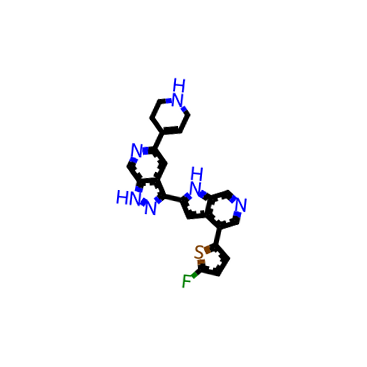 Fc1ccc(-c2cncc3[nH]c(-c4n[nH]c5cnc(C6=CCNCC6)cc45)cc23)s1